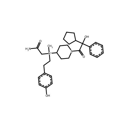 C[N+](CCc1ccc(O)cc1)(CC(N)=O)C1CCN(C(=O)C(O)(c2ccccc2)C2CCCC2)CC1